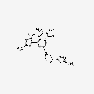 Cc1nc2c(-c3cc(C(F)(F)F)nn3C)nc(N3CCOC(c4cnn(C)c4)C3)nc2c(=O)n1C